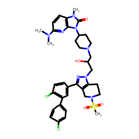 CN(C)c1ccc2c(n1)n(C1CCN(CC(O)Cn3nc(-c4ccc(Cl)c(-c5ccc(Cl)cc5)c4)c4c3CCN(S(C)(=O)=O)C4)CC1)c(=O)n2C